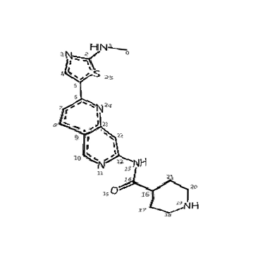 CNc1ncc(-c2ccc3cnc(NC(=O)C4CCNCC4)cc3n2)s1